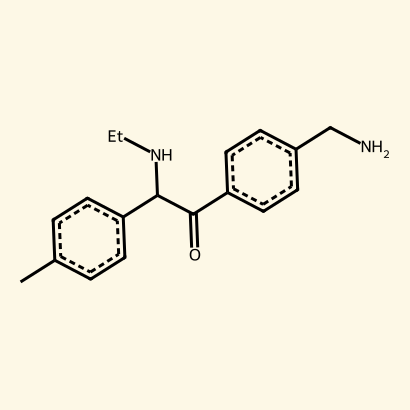 CCNC(C(=O)c1ccc(CN)cc1)c1ccc(C)cc1